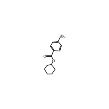 CCC(C)c1ccc(C(=O)OC2CCCCC2)cc1